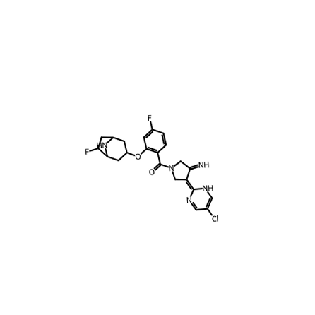 N=C1CN(C(=O)c2ccc(F)cc2OC2CC3CC(F)C(C2)N3)C/C1=C1\N=CC(Cl)=CN1